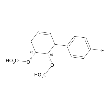 O=C(O)O[C@@H]1CC=CC(c2ccc(F)cc2)[C@@H]1OC(=O)O